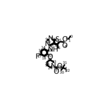 CCOC(=O)c1sc2ncnc(Nc3ccc(F)cc3O[C@H]3CCCN(C(=O)OC(C)(C)I)C3)c2c1C